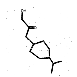 CC(C)C1CCC(CC(=O)CO)CC1